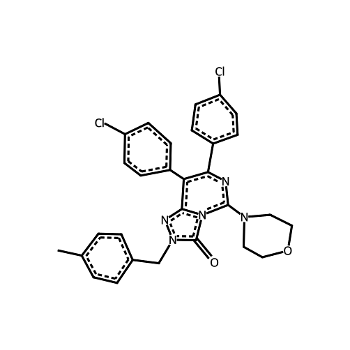 Cc1ccc(Cn2nc3c(-c4ccc(Cl)cc4)c(-c4ccc(Cl)cc4)nc(N4CCOCC4)n3c2=O)cc1